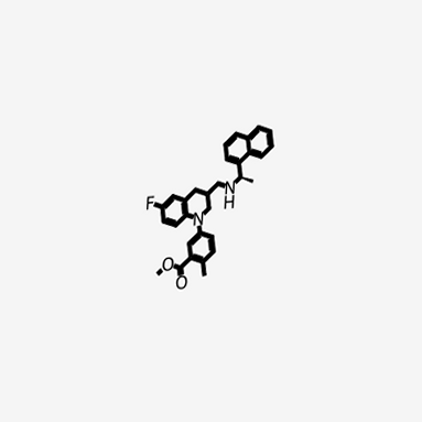 COC(=O)c1cc(N2CC(CN[C@H](C)c3cccc4ccccc34)Cc3cc(F)ccc32)ccc1C